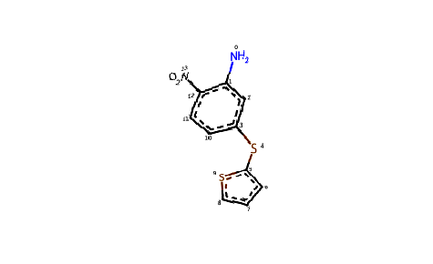 Nc1cc(Sc2cccs2)ccc1[N+](=O)[O-]